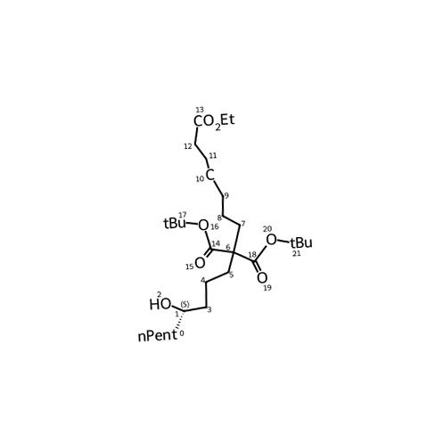 CCCCC[C@H](O)CCCC(CCCCCCC(=O)OCC)(C(=O)OC(C)(C)C)C(=O)OC(C)(C)C